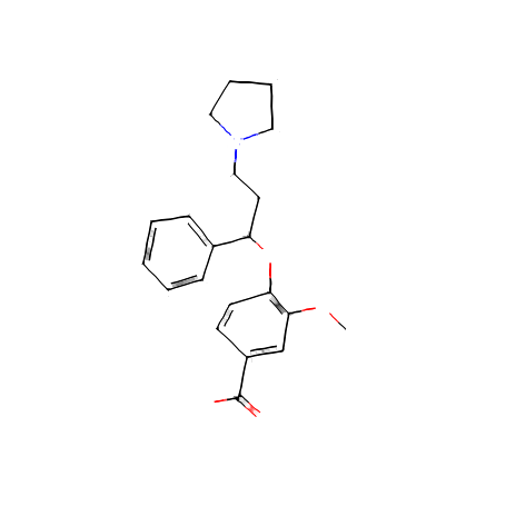 COc1cc(C(=O)O)ccc1OC(CCN1CCCC1)c1ccccc1